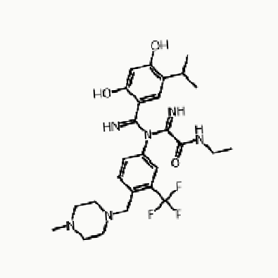 CCNC(=O)C(=N)N(C(=N)c1cc(C(C)C)c(O)cc1O)c1ccc(CN2CCN(C)CC2)c(C(F)(F)F)c1